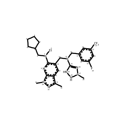 CCN(CC1CCCC1)c1nc2c(cc1CN(Cc1cc(F)cc(C(F)(F)F)c1)C1=NN(C)NN1)c(C)nn2C